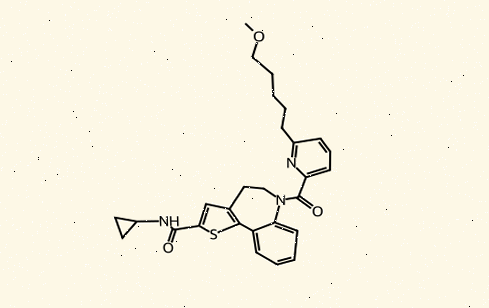 COCCCCCc1cccc(C(=O)N2CCc3cc(C(=O)NC4CC4)sc3-c3ccccc32)n1